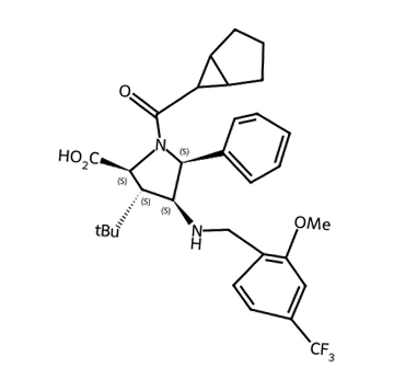 COc1cc(C(F)(F)F)ccc1CN[C@H]1[C@H](C(C)(C)C)[C@@H](C(=O)O)N(C(=O)C2C3CCCC32)[C@H]1c1ccccc1